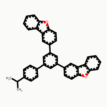 CC(C)c1ccc(-c2cc(-c3ccc4oc5ccccc5c4c3)cc(-c3ccc4oc5ccccc5c4c3)c2)cc1